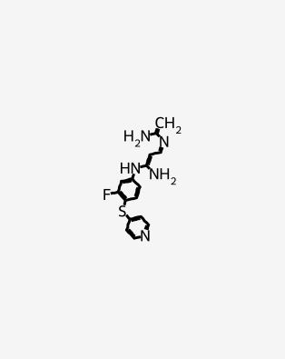 C=C(N)/N=C\C=C(/N)Nc1ccc(Sc2ccncc2)c(F)c1